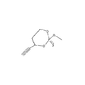 C#CC1CCOP(=S)(OC)O1